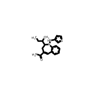 CCC(C)C1CC(C(N)=O)=Cc2ccccc2N1Nc1ccsc1